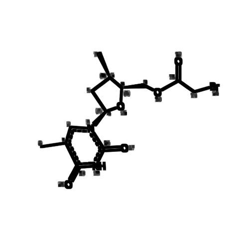 Cc1cn([C@H]2C[C@@H](C)[C@@H](COC(=O)CBr)O2)c(=O)[nH]c1=O